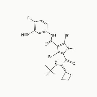 Cn1c(Br)c(C(=O)Nc2ccc(F)c(C#N)c2)c(Br)c1C(=O)C(NC(C)(C)C)=C1CCC1